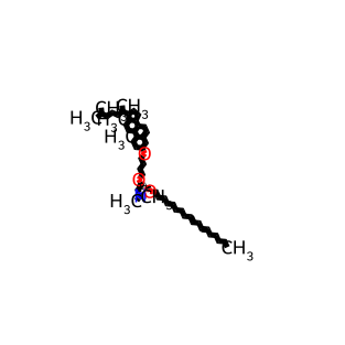 CCCCCC=CCC=CCCCCCCCCOC[C@H](CN(C)C)OCCCCOC1CCC2(C)C(=CCC3C2CCC2(C)C(C(C)CCCC(C)C)CCC32)C1